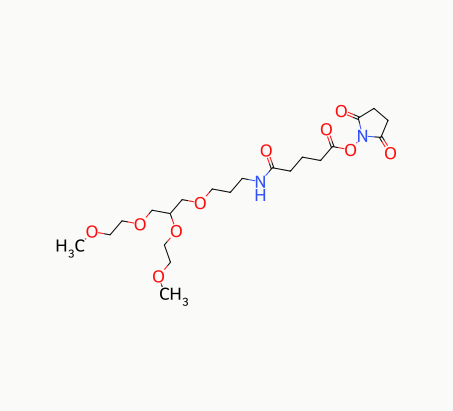 COCCOCC(COCCCNC(=O)CCCC(=O)ON1C(=O)CCC1=O)OCCOC